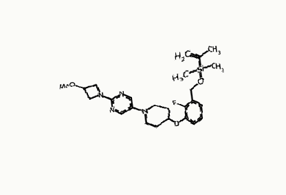 C=C(C)[Si](C)(C)OCc1cccc(OC2CCN(c3cnc(N4CC(OC)C4)nc3)CC2)c1F